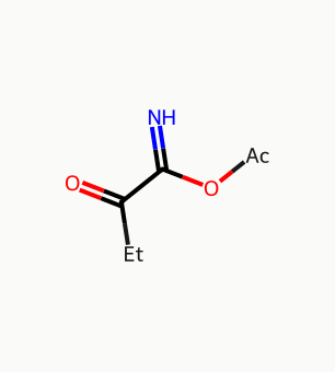 CCC(=O)C(=N)OC(C)=O